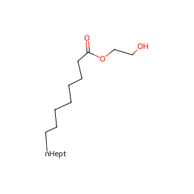 CCCCCCCCCCCCCCC(=O)OCCO